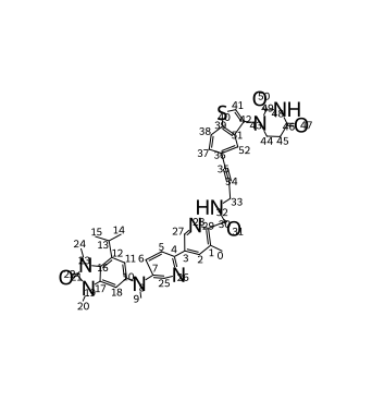 Cc1cc(-c2ccc(N(C)c3cc(C(C)C)c4c(c3)n(C)c(=O)n4C)cn2)cnc1C(=O)NCC#Cc1ccc2scc(N3CCC(=O)NC3=O)c2c1